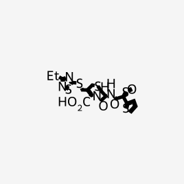 CCc1nsc(SCC2=C(C(=O)O)N3C(=O)C(NC(=O)C(=S=O)c4cccs4)[C@H]3SC2)n1